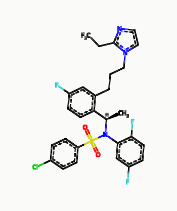 C[C@H](c1ccc(F)cc1CCCn1ccnc1CC(F)(F)F)N(c1cc(F)ccc1F)S(=O)(=O)c1ccc(Cl)cc1